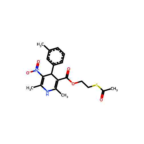 CC(=O)SCCOC(=O)C1=C(C)NC(C)=C([N+](=O)[O-])C1c1cccc(C)c1